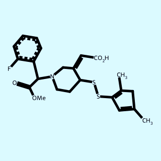 COC(=O)C(c1ccccc1F)N1CCC(SSC2=C(C)CC(C)=C2)/C(=C\C(=O)O)C1